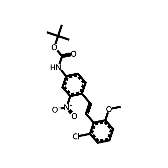 COc1cccc(Cl)c1C=Cc1ccc(NC(=O)OC(C)(C)C)cc1[N+](=O)[O-]